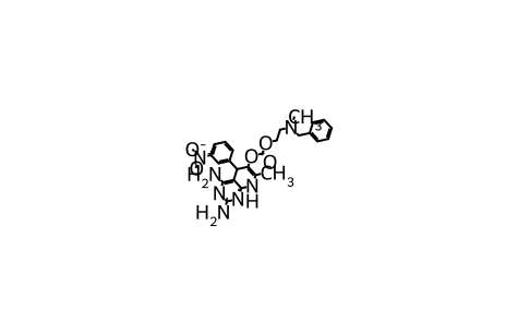 CC1=C(OC(=O)OCCN(C)Cc2ccccc2)C(c2cccc([N+](=O)[O-])c2)c2c(N)nc(N)nc2N1